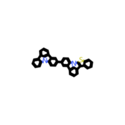 c1ccc2c(c1)sc1c2c2cccc3c4cc(-c5ccc6c(c5)c5cccc7c8ccccc8n6c75)ccc4n1c32